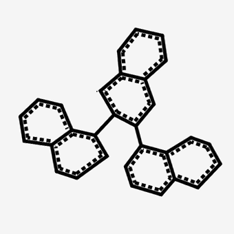 [c]1c(-c2cccc3ccccc23)c(-c2cccc3ccccc23)cc2ccccc12